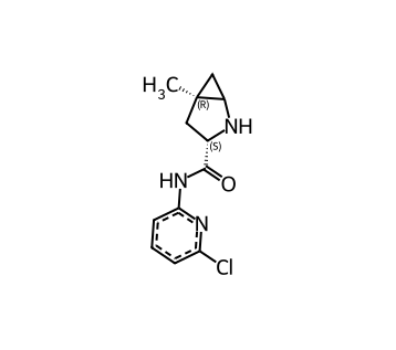 C[C@]12CC1N[C@H](C(=O)Nc1cccc(Cl)n1)C2